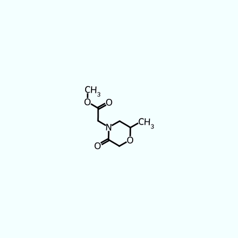 COC(=O)CN1CC(C)OCC1=O